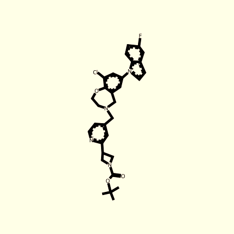 CC(C)(C)OC(=O)N1CC(c2cc(CN3CCOc4c(Cl)cc(-n5ccc6cc(F)ccc65)cc4C3)ccn2)C1